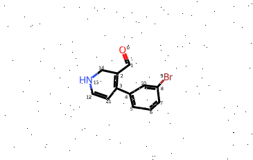 O=CC1=C(c2cccc(Br)c2)C=CNC1